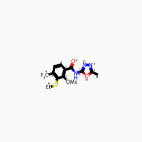 CCSc1c(C(F)(F)F)ccc(C(=O)Nc2nnc(C)o2)c1OC